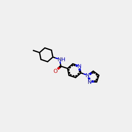 CC1CCC(NC(=O)c2ccc(-n3cccn3)nc2)CC1